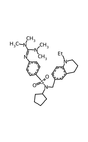 CCN1CCCc2cc(CN(C3CCCC3)S(=O)(=O)c3ccc(N=C(N(C)C)N(C)C)cc3)ccc21